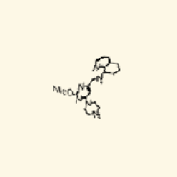 COc1nc(CN(C)C2CCCc3cccnc32)cc(N2CCN(C)CC2)n1